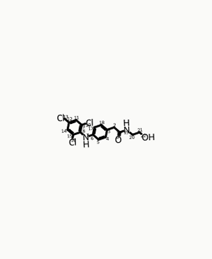 O=C(Cc1ccc(Nc2c(Cl)cc(Cl)cc2Cl)cc1)NCCO